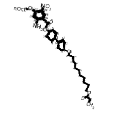 C=CC(=O)OCCCCCCCCCCCOc1ccc(-c2ccc(OC(=O)c3cc([N+](=O)[O-])c(OCCCCCCCC)cc3N)cc2)cc1